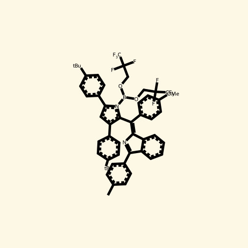 COc1ccc(/C(=C2/N=C(c3ccc(C)cc3)c3ccccc32)c2c(-c3ccc(C(C)(C)C)cc3)cc(-c3ccc(C(C)(C)C)cc3)n2B(OCC(F)(F)C(F)(F)F)OCC(F)(F)C(F)(F)F)cc1